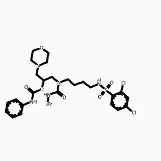 CC(C)NC(=O)N(CCCCNS(=O)(=O)c1ccc(Cl)cc1Cl)CC(CN1CCOCC1)OC(=O)Nc1ccccc1